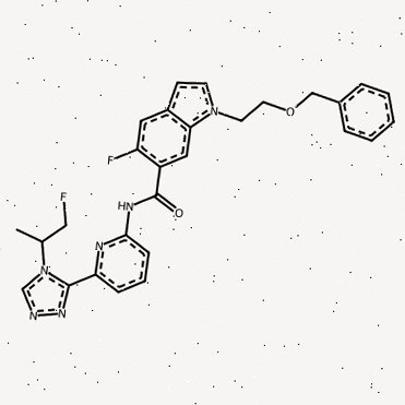 CC(CF)n1cnnc1-c1cccc(NC(=O)c2cc3c(ccn3CCOCc3ccccc3)cc2F)n1